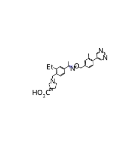 CCc1cc(/C(C)=N/OCc2ccc(-c3cncnc3)c(C)c2)ccc1CN1CC[C@H](C(=O)O)C1